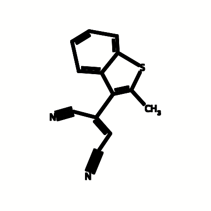 Cc1sc2ccccc2c1C(C#N)=CC#N